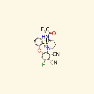 N#Cc1c(F)cc2c(c1C#N)N1CCC[C@H](NC(=O)C(F)(F)F)[C@H]1c1ccccc1O2